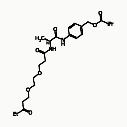 CCC(=O)CCOCCOCCC(=O)N[C@@H](C)C(=O)Nc1ccc(COC(=O)C(C)C)cc1